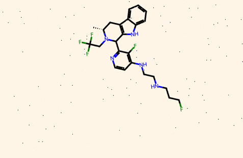 C[C@@H]1Cc2c([nH]c3ccccc23)C(c2nccc(NCCNCCCF)c2F)N1CC(F)(F)F